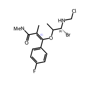 CNC(=O)/C(C)=C(/OC(C)[C@@H](Br)NCCl)c1ccc(F)cc1